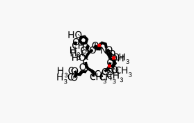 COC(/C=C/C[C@@H]1/C=C(\C)C[C@H](C)C[C@H](OC)[C@H]2O[C@@](O)(C(=O)C(=O)N3CCCC[C@H]3C(=O)O[C@H](/C(C)=C/[C@@H]3CC[C@@H](O)[C@H](OC)C3)[C@H](C)[C@@H](O)CC1=O)[C@H](C)C[C@@H]2OC)OC